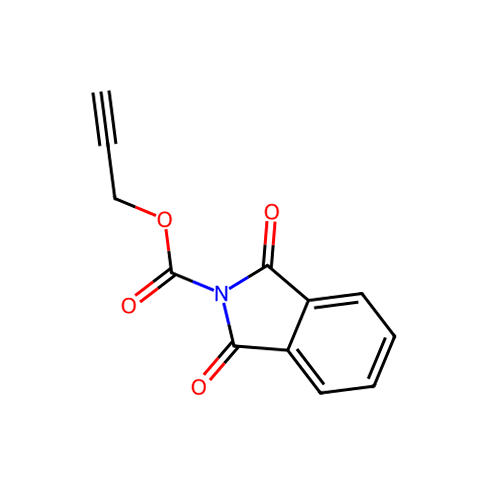 C#CCOC(=O)N1C(=O)c2ccccc2C1=O